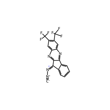 [C-]#[N+]/N=C1\c2ccccc2-c2nc3cc(C(F)(F)F)c(C(F)(F)F)cc3nc21